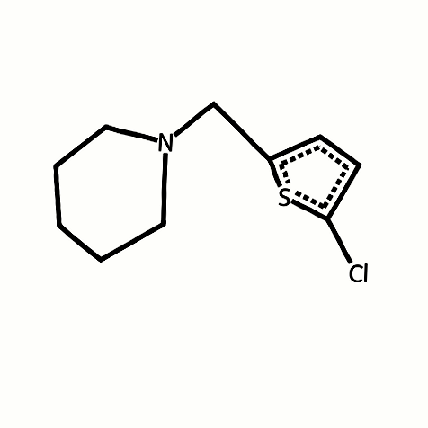 Clc1ccc(CN2CCCCC2)s1